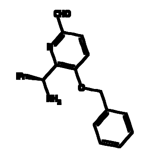 CC(C)[C@H](N)c1nc(C=O)ccc1OCc1ccccc1